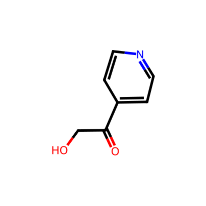 O=C(CO)c1ccncc1